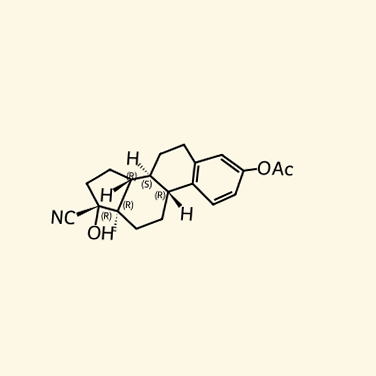 CC(=O)Oc1ccc2c(c1)CC[C@@H]1[C@H]3CC[C@](O)(C#N)[C@]3(C)CC[C@@H]21